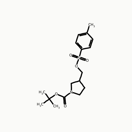 Cc1ccc(S(=O)(=O)OCC2CCN(C(=O)OC(C)(C)C)C2)cc1